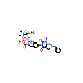 CC(C)(C)OC(=O)N[C@@H](Cc1ccc(-n2c(=O)[nH]c3c(c2=O)CCN(Cc2ccccc2)C3)cc1)C(=O)O